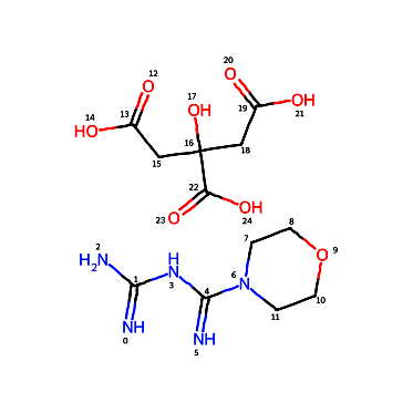 N=C(N)NC(=N)N1CCOCC1.O=C(O)CC(O)(CC(=O)O)C(=O)O